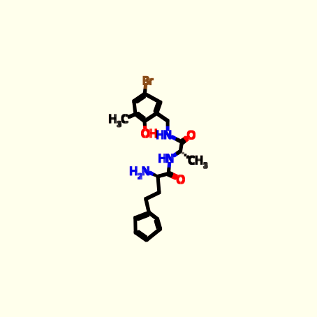 Cc1cc(Br)cc(CNC(=O)[C@H](C)NC(=O)[C@H](N)CCc2ccccc2)c1O